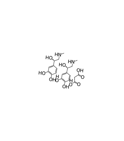 CNC[C@H](O)c1ccc(O)c(O)c1.CNC[C@H](O)c1ccc(O)c(O)c1.O=C(O)CC(=O)O